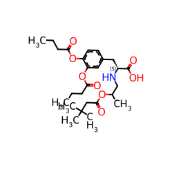 CCCC(=O)Oc1ccc(C[C@H](NCC(C)OC(=O)CC(C)(C)C)C(=O)O)cc1OC(=O)CCC